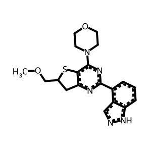 COCC1Cc2nc(-c3cccc4[nH]ncc34)nc(N3CCOCC3)c2S1